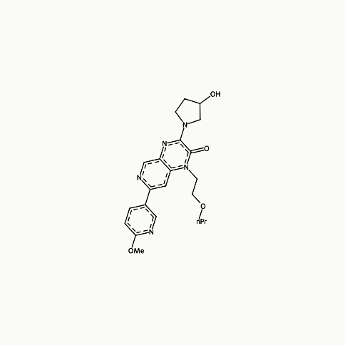 CCCOCCn1c(=O)c(N2CCC(O)C2)nc2cnc(-c3ccc(OC)nc3)cc21